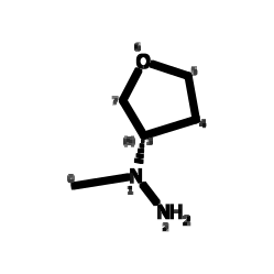 CN(N)[C@H]1CCOC1